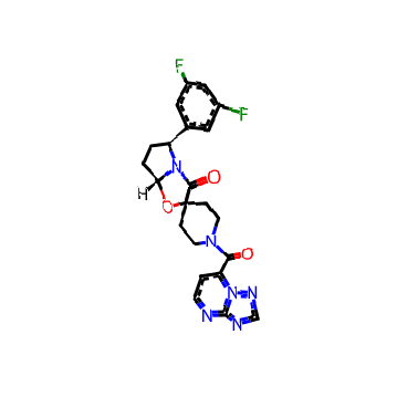 O=C(c1ccnc2ncnn12)N1CCC2(CC1)O[C@@H]1CC[C@@H](c3cc(F)cc(F)c3)N1C2=O